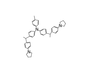 Cc1ccc(N(c2ccc(C(C)c3ccc(N4CCCC4)cc3)cc2)c2ccc(C(C)c3ccc(N4CCCC4)cc3)cc2)cc1